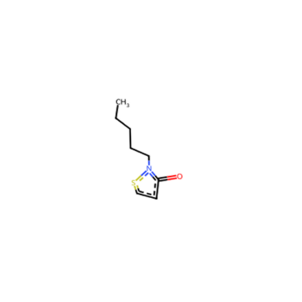 CCCCCn1sccc1=O